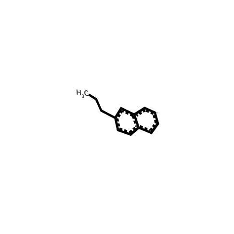 CCCc1ccc2cc[c]cc2c1